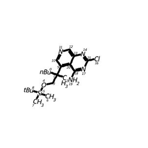 CCCCC(C)(CO[Si](C)(C)C(C)(C)C)c1cncc2nc(Cl)nc(N)c12